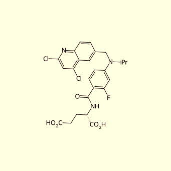 CC(C)N(Cc1ccc2nc(Cl)cc(Cl)c2c1)c1ccc(C(=O)N[C@@H](CCC(=O)O)C(=O)O)c(F)c1